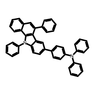 c1ccc(-c2cc3ccccc3c3c2c2cc(-c4ccc(N(c5ccccc5)c5ccccc5)cc4)ccc2n3-c2ccccc2)cc1